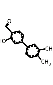 Cc1ccc(-c2ccc(C=O)c(O)c2)cc1C